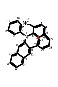 N#Cc1ccccc1N(c1ccccc1)c1cc2ccccc2cc1-c1ccccc1